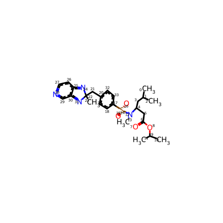 CC(C)CC(CC(=O)OC(C)C)N(C)S(=O)(=O)c1ccc(CC2(C)N=c3ccncc3=N2)cc1